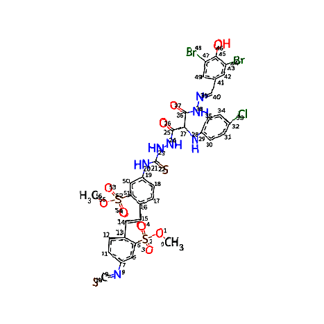 COS(=O)(=O)c1cc(N=C=S)ccc1/C=C/c1ccc(NC(=S)NNC(=O)C(Nc2ccc(Cl)cc2)C(=O)N/N=C/c2cc(Br)c(O)c(Br)c2)cc1S(=O)(=O)OC